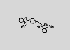 COc1ccccc1C(C#N)(CCCN1CCN(c2nc3ccccc3n2CC(C)C)CC1)C(C)C